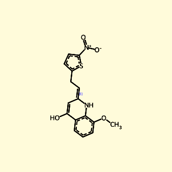 COc1cccc2c1N/C(=C/Cc1ccc([N+](=O)[O-])s1)C=C2O